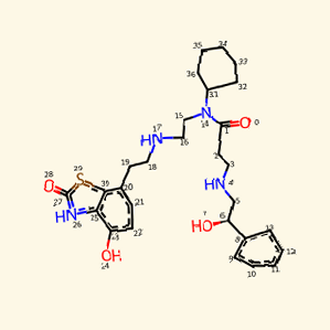 O=C(CCNC[C@H](O)c1ccccc1)N(CCNCCc1ccc(O)c2[nH]c(=O)sc12)C1CCCCC1